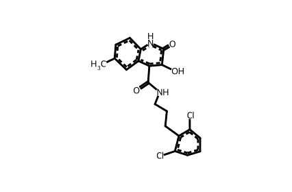 Cc1ccc2[nH]c(=O)c(O)c(C(=O)NCCCc3c(Cl)cccc3Cl)c2c1